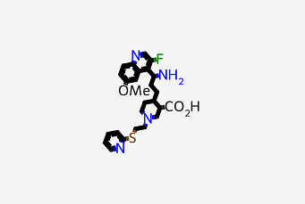 COc1ccc2ncc(F)c(C(N)CCC3CCN(CCSc4ccccn4)CC3C(=O)O)c2c1